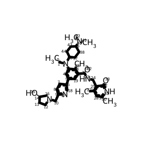 CCN(c1cc(-c2ccc(CN3CC[C@H](O)C3)nc2)cc(C(=O)NCc2c(C)cc(C)[nH]c2=O)c1C)C1CCC(N(C)C)CC1